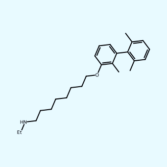 CCNCCCCCCCCOc1cccc(-c2c(C)cccc2C)c1C